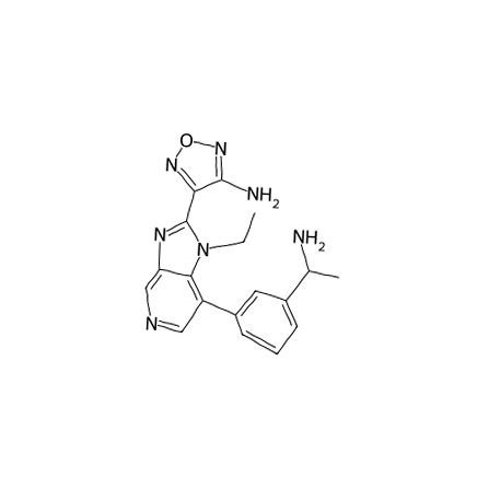 CCn1c(-c2nonc2N)nc2cncc(-c3cccc(C(C)N)c3)c21